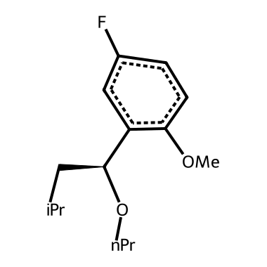 CCCO[C@@H](CC(C)C)c1cc(F)ccc1OC